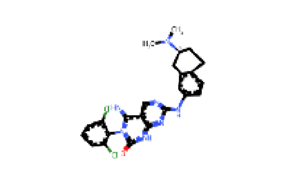 CN(C)[C@H]1CCc2ccc(Nc3ncc4c(=N)n(-c5c(Cl)cccc5Cl)c(=O)[nH]c4n3)cc2C1